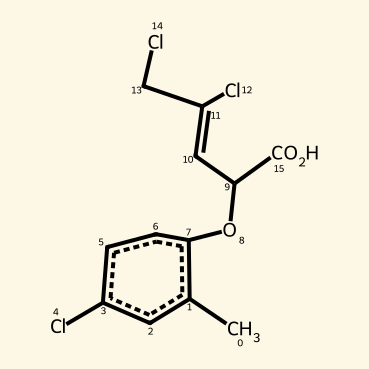 Cc1cc(Cl)ccc1OC(C=C(Cl)CCl)C(=O)O